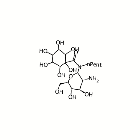 CCCCCN(C(=O)C1(O)C(O)C(O)C(O)C(O)C1O)C1O[C@H](CO)[C@@H](O)[C@H](O)[C@H]1N